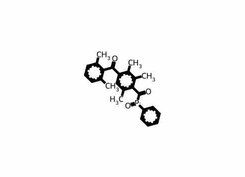 Cc1cccc(C)c1C(=O)c1cc(C)c(C(=O)[P](=O)c2ccccc2)c(C)c1C